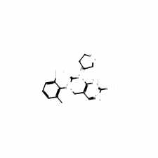 Cc1cccc(F)c1N1Cc2cnc(Cl)nc2N([C@@H]2CCNC2)C1=O